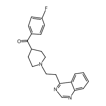 O=C(c1ccc(F)cc1)C1CCN(CCc2ncnc3ccccc23)CC1